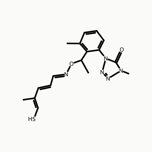 CC(C=CC=NOC(C)c1c(C)cccc1-n1nnn(C)c1=O)=CS